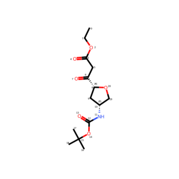 CCOC(=O)CC(=O)[C@H]1C[C@@H](NC(=O)OC(C)(C)C)CO1